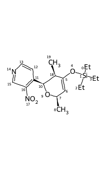 CC[Si](CC)(CC)OC1=C[C@@H](C)O[C@@H](c2ccncc2[N+](=O)[O-])[C@H]1C